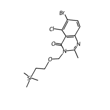 Cc1nc2ccc(Br)c(Cl)c2c(=O)n1COCC[Si](C)(C)C